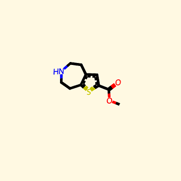 COC(=O)c1cc2c(s1)CCNCC2